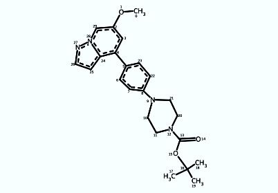 COc1cc(-c2ccc(N3CCN(C(=O)OC(C)(C)C)CC3)cc2)c2ccnn2c1